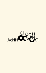 CC(=O)Nc1cc(Cl)c2c(c1)CN(C1CCC(=O)NC1=O)C2=O